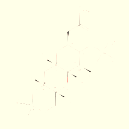 COC(=O)C[C@@H]1O[C@H]2C[C@H]3O[Si](C(C)(C)C)(C(C)(C)C)OC[C@H]3O[C@H]2[C@H](C)C1O[Si](C)(C)C(C)(C)C